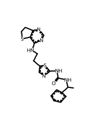 CC(NC(=O)Nc1ncc(CCNc2ncnc3c2SCC3)s1)c1ccccc1